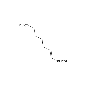 [CH2]CCCCCCC=CCCCCCCCCCCC[CH2]